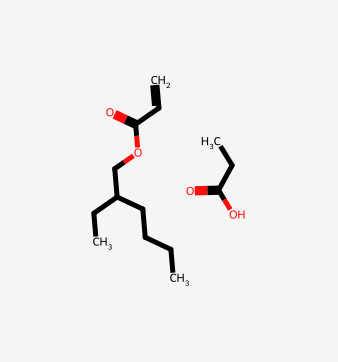 C=CC(=O)OCC(CC)CCCC.CCC(=O)O